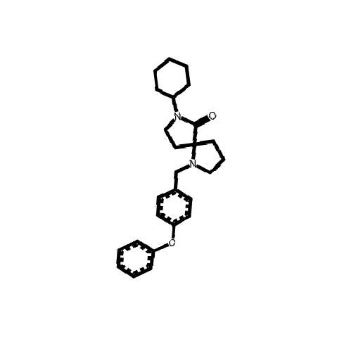 O=C1N(C2CCCCC2)CCC12CCCN2Cc1ccc(Oc2ccccc2)cc1